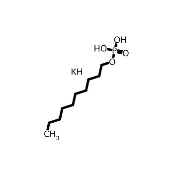 CCCCCCCCCCOP(=O)(O)O.[KH]